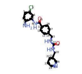 Nc1ccc(Cl)cc1NC(=O)c1ccc(CNC(=O)NCc2cccnc2)cc1